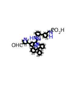 O=Cc1cncc(-c2ccc3c(c2)c(-c2nc4c(-c5cccc(CNC(=O)O)c5)cccc4[nH]2)nn3C(c2ccccc2)(c2ccccc2)c2ccccc2)c1